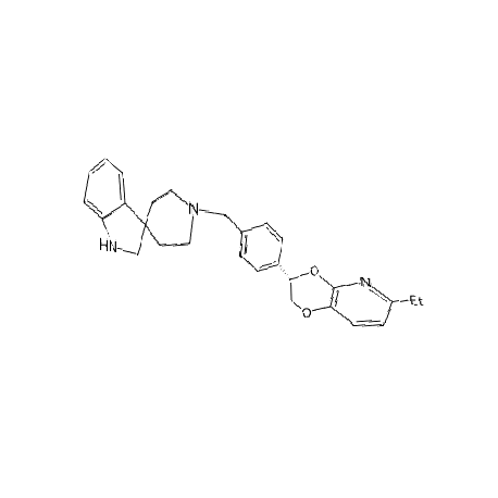 CCc1ccc2c(n1)O[C@@H](c1ccc(CN3CCC4(CC3)CNc3ccccc34)cc1)CO2